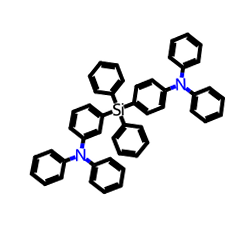 c1ccc(N(c2ccccc2)c2ccc([Si](c3ccccc3)(c3ccccc3)c3cccc(N(c4ccccc4)c4ccccc4)c3)cc2)cc1